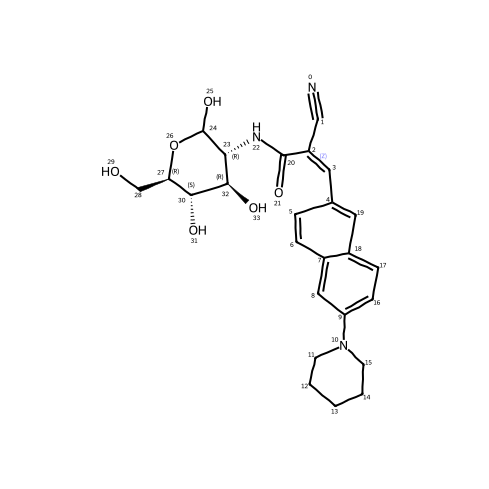 N#C/C(=C/c1ccc2cc(N3CCCCC3)ccc2c1)C(=O)N[C@H]1C(O)O[C@H](CO)[C@@H](O)[C@@H]1O